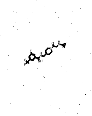 N=C(NCC1CCN(C(=O)CNC2CC2)CC1)c1cc(F)cc(C(F)(F)F)c1